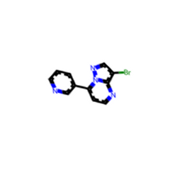 Brc1cnn2c(-c3cccnc3)ccnc12